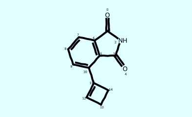 O=C1NC(=O)c2c1cccc2C1=CCC1